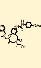 COc1ccc(NC(=O)Nc2ccc3c(c2)CC(=O)N([C@@H](C)CO)CC(C)[C@H](CN(C)Cc2ccncc2)O3)cc1